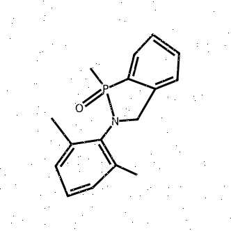 Cc1cccc(C)c1N1Cc2ccccc2P1(C)=O